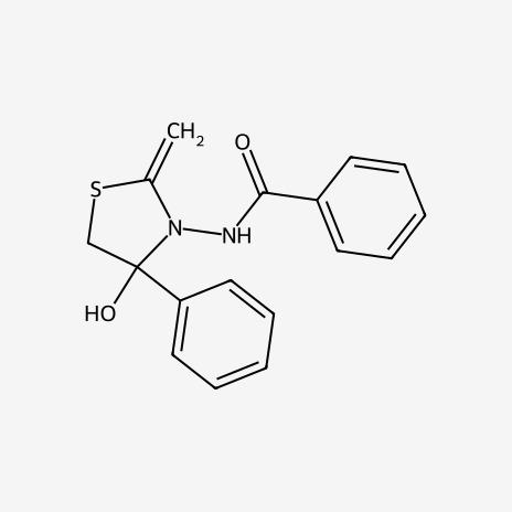 C=C1SCC(O)(c2ccccc2)N1NC(=O)c1ccccc1